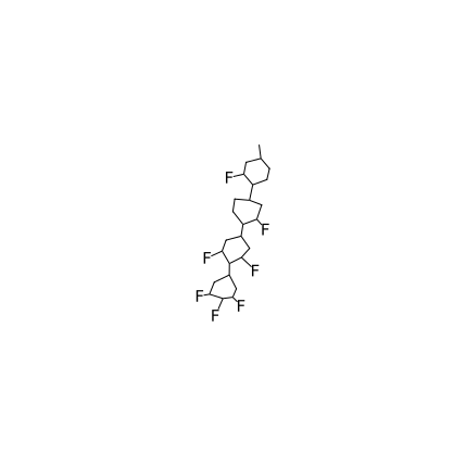 CC1CCC(C2CCC(C3CC(F)C(C4CC(F)C(F)C(F)C4)C(F)C3)C(F)C2)C(F)C1